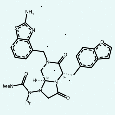 CNC(=O)N(C(C)C)N1CC(=O)N2[C@@H](Cc3ccc4occc4c3)C(=O)N(Cc3cccc4sc(N)nc34)C[C@@H]21